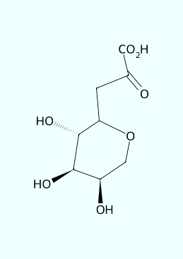 O=C(O)C(=O)CC1OC[C@@H](O)[C@@H](O)[C@@H]1O